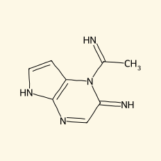 CC(=N)n1c(=N)cnc2[nH]ccc21